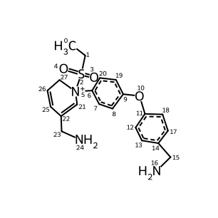 CCS(=O)(=O)[N+]1(c2ccc(Oc3ccc(CN)cc3)cc2)C=C(CN)C=CC1